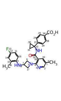 Cc1cnc(N2CC(Nc3ccc(F)cc3C)C2)c(C(=O)NC2(c3ccc(C(=O)O)cc3)CC2)c1